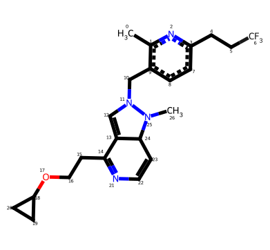 Cc1nc(CCC(F)(F)F)ccc1CN1C=C2C(CCOC3CC3)=NC=CC2N1C